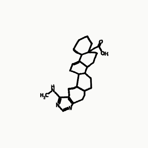 CNc1ncnc2c1CC1C(CCC3C4CCC5(C(=O)O)CCCCC5C4=CCC13)C2